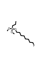 CCC[Si](OC)(OC)OCCCCCCCCF